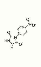 O=c1[nH][nH]c(=O)n1-c1ccc([N+](=O)[O-])cc1